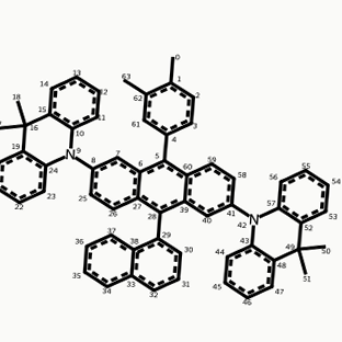 Cc1ccc(-c2c3cc(N4c5ccccc5C(C)(C)c5ccccc54)ccc3c(-c3cccc4ccccc34)c3cc(N4c5ccccc5C(C)(C)c5ccccc54)ccc23)cc1C